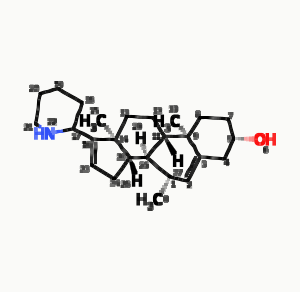 C[C@H]1C=C2C[C@@H](O)CC[C@]2(C)[C@H]2CC[C@]3(C)C(C4CCCCN4)=CC[C@H]3[C@H]12